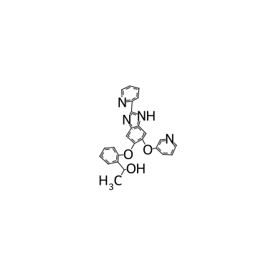 CC(O)c1ccccc1Oc1cc2nc(-c3ccccn3)[nH]c2cc1Oc1cccnc1